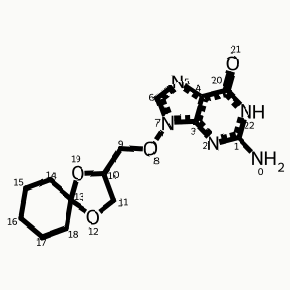 Nc1nc2c(ncn2OCC2COC3(CCCCC3)O2)c(=O)[nH]1